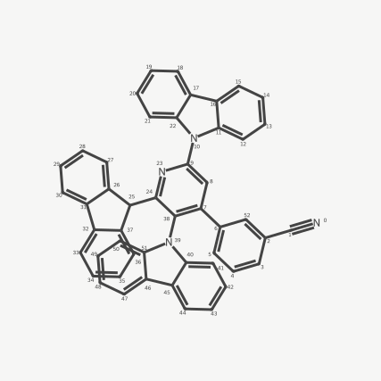 N#Cc1cccc(-c2cc(-n3c4ccccc4c4ccccc43)nc(C3c4ccccc4-c4ccccc43)c2-n2c3ccccc3c3ccccc32)c1